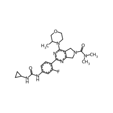 CC1COCCN1c1nc(-c2ccc(NC(=O)NC3CC3)cc2F)nc2c1CN(C(=O)N(C)C)C2